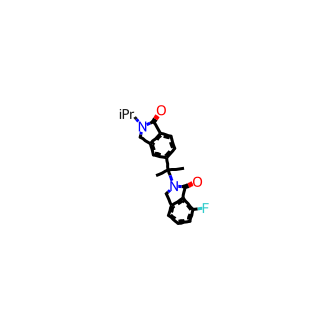 CC(C)N1Cc2cc(C(C)(C)N3Cc4cccc(F)c4C3=O)ccc2C1=O